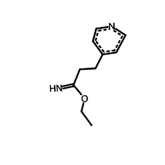 CCOC(=N)CCc1ccncc1